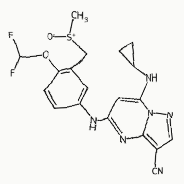 C[S+]([O-])Cc1cc(Nc2cc(NC3CC3)n3ncc(C#N)c3n2)ccc1OC(F)F